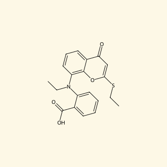 CCSc1cc(=O)c2cccc(N(CC)c3ccccc3C(=O)O)c2o1